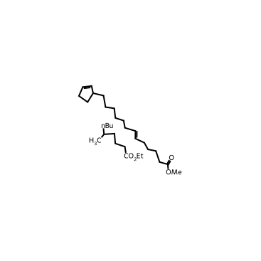 CCCCC(C)CCCC(=O)OCC.COC(=O)CCCCC=CCCCCCCC1C=CCC1